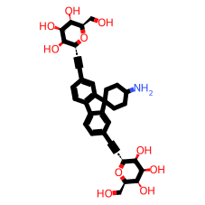 NC1CCC2(CC1)c1cc(C#C[C@H]3O[C@H](CO)[C@@H](O)[C@H](O)[C@@H]3O)ccc1-c1ccc(C#C[C@H]3O[C@H](CO)[C@@H](O)[C@H](O)[C@@H]3O)cc12